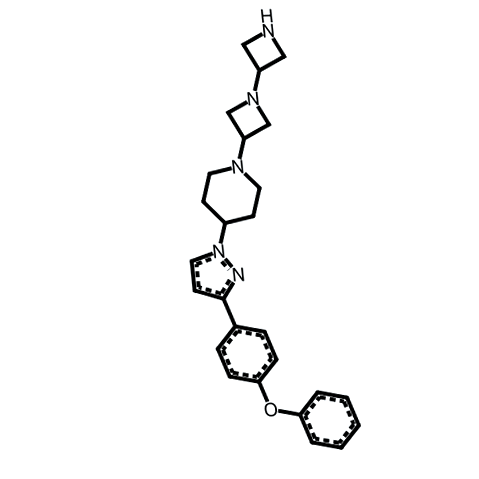 c1ccc(Oc2ccc(-c3ccn(C4CCN(C5CN(C6CNC6)C5)CC4)n3)cc2)cc1